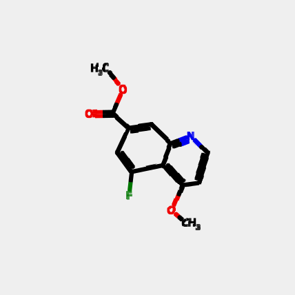 COC(=O)c1cc(F)c2c(OC)ccnc2c1